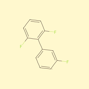 Fc1[c]ccc(-c2c(F)cccc2F)c1